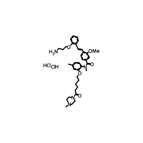 COc1cc(C(=O)N(C)c2ccc(C)cc2OCCCCCC(=O)N2CCN(C)CC2)ccc1C=Cc1ccccc1OCCCN.Cl.Cl